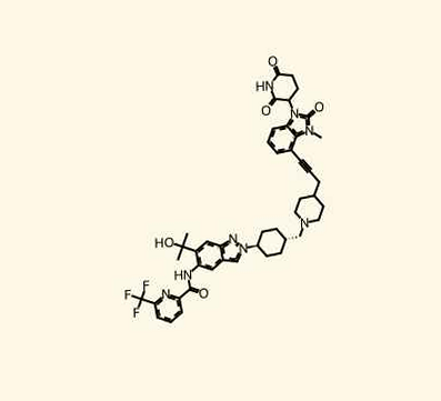 Cn1c(=O)n(C2CCC(=O)NC2=O)c2cccc(C#CCC3CCN(C[C@H]4CC[C@H](n5cc6cc(NC(=O)c7cccc(C(F)(F)F)n7)c(C(C)(C)O)cc6n5)CC4)CC3)c21